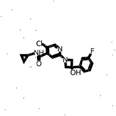 O=C(NC1CC1)c1cc(N2CC(O)(c3cccc(F)c3)C2)ncc1Cl